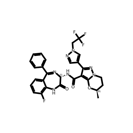 C[C@@H]1CCn2nc(-c3cnn(CC(F)(F)F)c3)c(C(=O)N[C@H]3N=C(c4ccccc4)c4cccc(F)c4NC3=O)c2O1